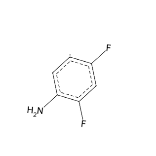 Nc1c[c]c(F)cc1F